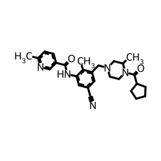 Cc1ccc(C(=O)Nc2cc(C#N)cc(CN3CCN(C(=O)C4CCCC4)C(C)C3)c2C)cn1